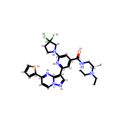 CCN(CC)[C@@H](C)CNC(=O)c1cc(-c2cnn3ccc(-c4cccs4)nc23)nc(N2CCC(F)(F)C2)c1